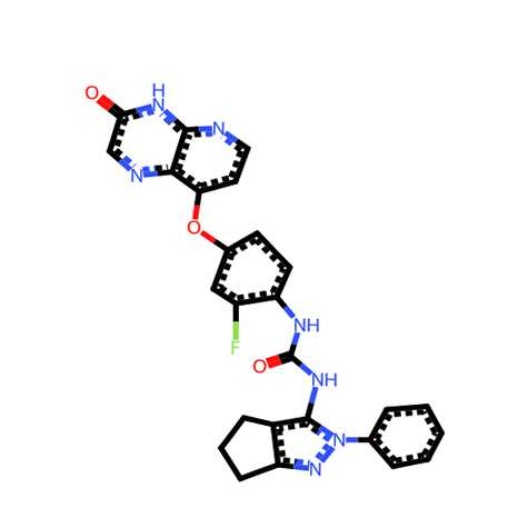 O=C(Nc1ccc(Oc2ccnc3[nH]c(=O)cnc23)cc1F)Nc1c2c(nn1-c1ccccc1)CCC2